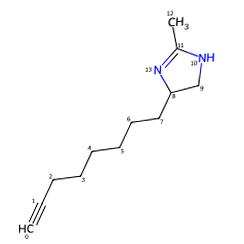 C#CCCCCCCC1CNC(C)=N1